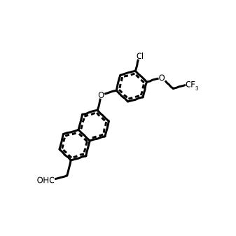 O=CCc1ccc2cc(Oc3ccc(OCC(F)(F)F)c(Cl)c3)ccc2c1